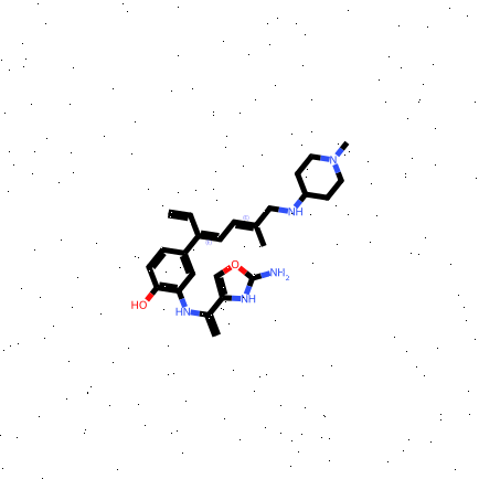 C=C/C(=C\C=C(/C)CNC1CCN(C)CC1)c1ccc(O)c(NC(=C)C2=COC(N)N2)c1